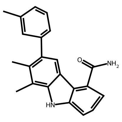 Cc1cccc(-c2cc3c([nH]c4cccc(C(N)=O)c43)c(C)c2C)c1